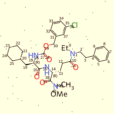 CCN(CCc1ccccc1)C(=O)CC[C@@H](NC(=O)[C@@H](CC1CCCCC1)NC(=O)OCc1cccc(Cl)c1)C(=O)N(C)OC